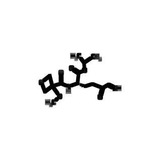 COC1(C(=O)N[C@@H](CCC(=O)C=N)C(=O)OC(C)C)COC1